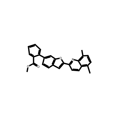 COC(=O)c1ccccc1-c1ccc2cc(-c3ccc4c(C)ccc(C)c4n3)oc2c1